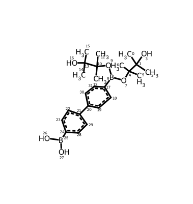 CC(C)(O)C(C)(C)OB(OC(C)(C)C(C)(C)O)c1ccc(-c2ccc(B(O)O)cc2)cc1